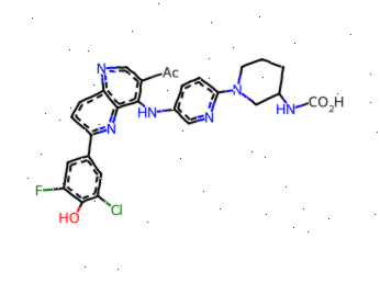 CC(=O)c1cnc2ccc(-c3cc(F)c(O)c(Cl)c3)nc2c1Nc1ccc(N2CCCC(NC(=O)O)C2)nc1